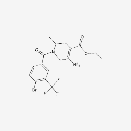 CCOC(=O)C1=C(N)CN(C(=O)c2ccc(Br)c(C(F)(F)F)c2)C(C)C1